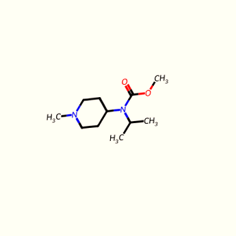 COC(=O)N(C(C)C)C1CCN(C)CC1